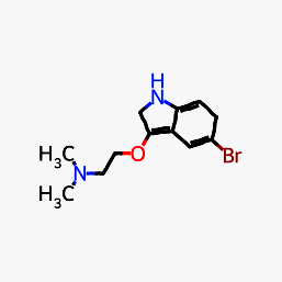 CN(C)CCOC1=C2C=C(Br)CC=C2NC1